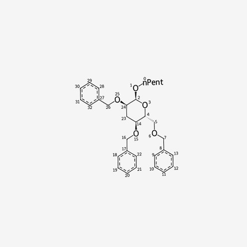 CCCCCO[C@H]1O[C@H](COCc2ccccc2)[C@@H](OCc2ccccc2)C[C@H]1OCc1ccccc1